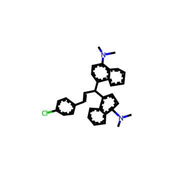 CN(C)c1ccc(C(C=Cc2ccc(Cl)cc2)c2ccc(N(C)C)c3ccccc23)c2ccccc12